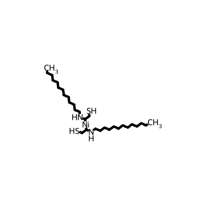 CCCCCCCCCCCCCN[CH](CS)[Ni][CH](CS)NCCCCCCCCCCCCC